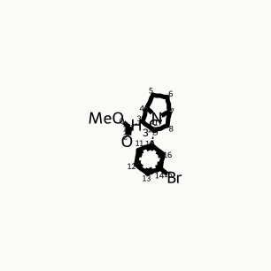 COC(=O)[C@@H]1C2CCC(C[C@@H]1c1cccc(Br)c1)N2C